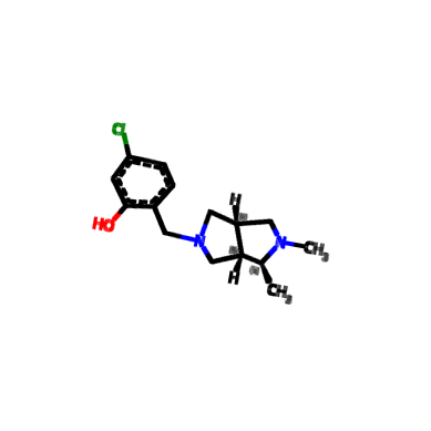 C[C@H]1[C@@H]2CN(Cc3ccc(Cl)cc3O)C[C@@H]2CN1C